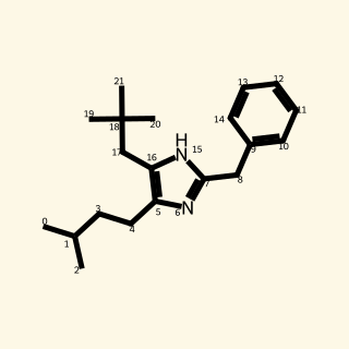 CC(C)CCc1nc(Cc2ccccc2)[nH]c1CC(C)(C)C